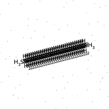 [SiH3][SiH2][SiH2][SiH2][SiH2][SiH2][SiH2][SiH2][SiH2][SiH2][SiH2][SiH2][SiH2][SiH2][SiH2][SiH2][SiH2][SiH2][SiH2][SiH2][SiH2][SiH2][SiH2][SiH2][SiH2][SiH2][SiH2][SiH2][SiH2][SiH2][SiH2][SiH2][SiH2][SiH2][SiH2][SiH2][SiH2][SiH2][SiH2][SiH2][SiH2][SiH2][SiH2][SiH2][SiH2][SiH2][SiH2][SiH2][SiH2][SiH2][SiH2][SiH2][SiH2][SiH2][SiH2][SiH2][SiH2][SiH2][SiH2][SiH2][SiH2][SiH2][SiH2][SiH2][SiH2][SiH3]